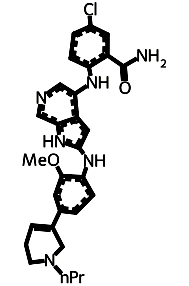 CCCN1CCC=C(c2ccc(Nc3cc4c(Nc5ccc(Cl)cc5C(N)=O)cncc4[nH]3)c(OC)c2)C1